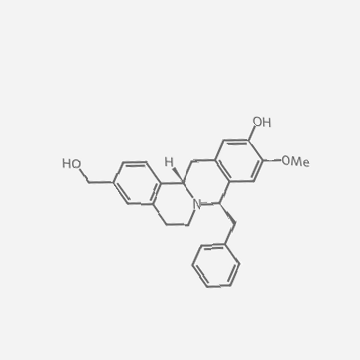 COc1cc2c(cc1O)C[C@H]1c3ccc(CO)cc3CCN1[C@@H]2Cc1ccccc1